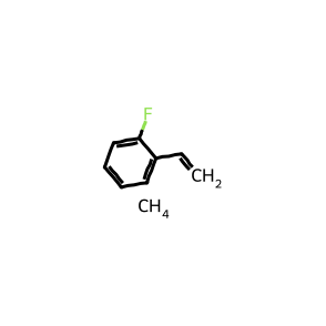 C.C=Cc1ccccc1F